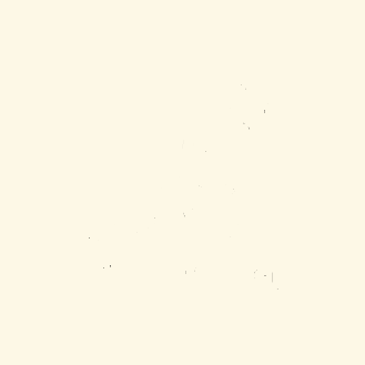 CCC1(CC)COC(Cc2ccc(OC)cc2)(C(C)Cn2ccnc2)OC1